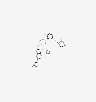 C[C@H]1CN(c2nc(OCc3ccc(Cl)cc3F)ccc2F)CCN1Cc1nc2cc(-c3nnc(C(F)(F)F)[nH]3)nnc2n1C[C@@H]1CCO1